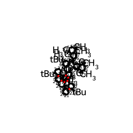 CC(C)(C)c1ccc(N2c3cc(N4c5ccc(C(C)(C)C)cc5C5(c6ccccc6)CCc6ccccc6C45C)ccc3B3c4cc5c(cc4N(c4ccc6c(c4)C(C)(C)CCC6(C)C)c4cc(C(C)(C)C)cc2c43)C(C)(C)CCC5(C)C)c(-c2ccccc2)c1